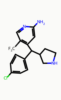 Nc1cc(C(c2ccc(Cl)cc2)C2CCNC2)c(C(F)(F)F)cn1